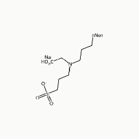 CCCCCCCCCCCCN(CCCS(=O)(=O)[O-])CC(=O)O.[Na+]